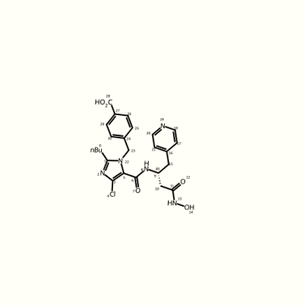 CCCCc1nc(Cl)c(C(=O)N[C@@H](CC(=O)NO)Cc2ccncc2)n1Cc1ccc(C(=O)O)cc1